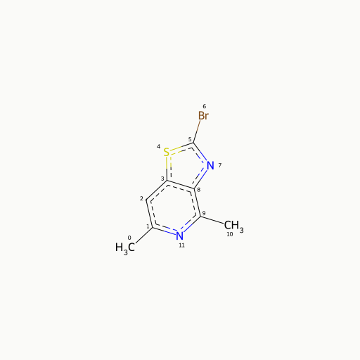 Cc1cc2sc(Br)nc2c(C)n1